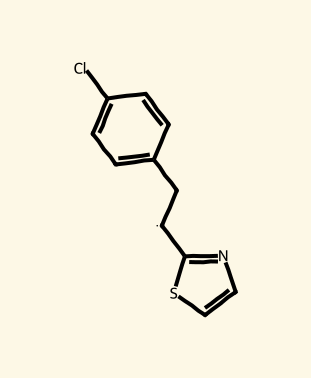 Clc1ccc(C[CH]c2nccs2)cc1